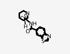 O=C(N[C@@H]1CC2CCN(CC2)C1)c1ccc2ncsc2c1